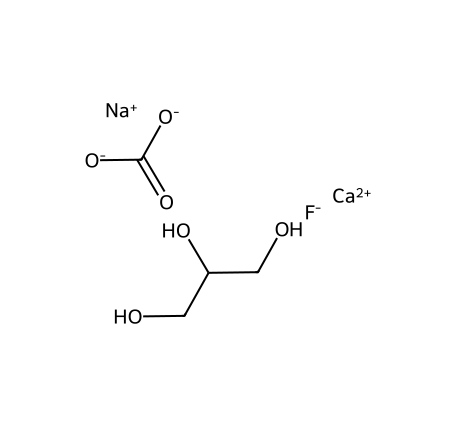 O=C([O-])[O-].OCC(O)CO.[Ca+2].[F-].[Na+]